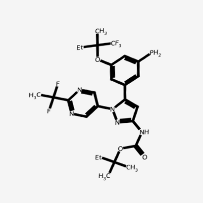 CCC(C)(C)OC(=O)Nc1cc(-c2cc(P)cc(OC(C)(CC)C(F)(F)F)c2)n(-c2cnc(C(C)(F)F)nc2)n1